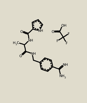 CC(NC(=O)c1ccc[nH]1)C(=O)NCc1ccc(C(=N)N)cc1.O=C(O)C(F)(F)F